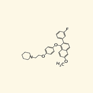 COc1ccc2c(Oc3ccc(OCCN4CCCCC4)cc3)c(-c3cccc(F)c3)ccc2c1